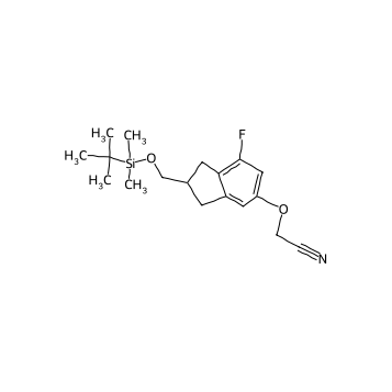 CC(C)(C)[Si](C)(C)OCC1Cc2cc(OCC#N)cc(F)c2C1